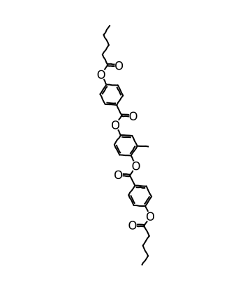 CCCCC(=O)Oc1ccc(C(=O)Oc2ccc(OC(=O)c3ccc(OC(=O)CCCC)cc3)c(C)c2)cc1